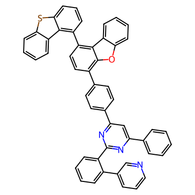 c1ccc(-c2cc(-c3ccc(-c4ccc(-c5cccc6sc7ccccc7c56)c5c4oc4ccccc45)cc3)nc(-c3ccccc3-c3cccnc3)n2)cc1